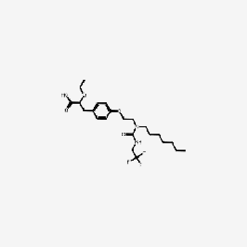 CCCCCCCN(CCOc1ccc(CC(OCC)C(=O)O)cc1)C(=O)NCC(F)(F)F